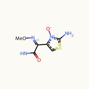 CO/N=C(\C([NH])=O)c1csc(N)[n+]1[O-]